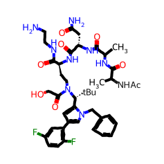 CC(=O)NC(C)C(=O)NC(C)C(=O)N[C@@H](CC(N)=O)C(=O)N[C@@H](CCN(C(=O)CO)[C@@H](c1cc(-c2cc(F)ccc2F)cn1Cc1ccccc1)C(C)(C)C)C(=O)NCCN